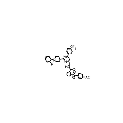 CC(=O)c1ccc(S(=O)(=O)N2CCC[C@H]2C(=O)NCc2cc(-c3ccc(C(F)(F)F)cc3)nc(N3CCN(c4ccccc4F)CC3)n2)cc1